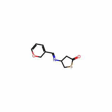 O=C1CC(N=CC2=CC=COC2)CS1